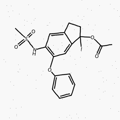 CC(=O)OC1(I)CCc2cc(NS(C)(=O)=O)c(Oc3ccccc3)cc21